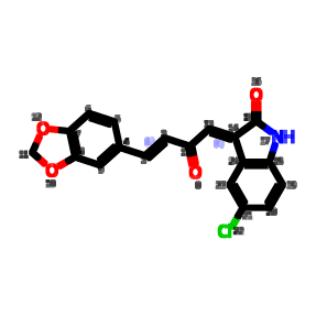 O=C(/C=C/c1ccc2c(c1)OCO2)/C=C1/C(=O)Nc2ccc(Cl)cc21